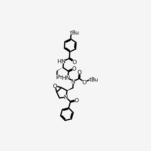 CC(C)C[C@H](NC(=O)c1ccc(C(C)(C)C)cc1)C(=O)NN(C[C@@H]1C2OC2CN1C(=O)c1ccccc1)C(=O)OC(C)(C)C